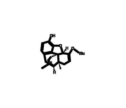 CN1CC[C@]23c4c5ccc(O)c4O[C@H]2C(OC(C)(C)C)=CC[C@@]3(C)[C@H]1C5